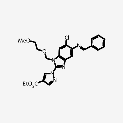 CCOC(=O)c1cnn(-c2nc3cc(N=Cc4ccccc4)c(Cl)cc3n2COCCOC)c1